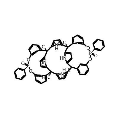 C[C@]12c3cccc(c3)O[P@](=O)(c3ccccc3)Oc3cccc(c3)[C@](C)(c3ccc1[nH]3)c1ccc([nH]1)[C@@]1(C)c3cccc(c3)O[P@](=O)(c3ccccc3)Oc3cccc(c3)[C@](C)(c3ccc1[nH]3)c1ccc2[nH]1